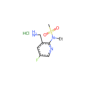 CCN(c1ncc(F)cc1CN)S(C)(=O)=O.Cl